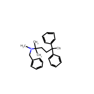 CN(Cc1ccccc1)C(C)(C)CCC(C#N)(c1ccccc1)c1ccccc1